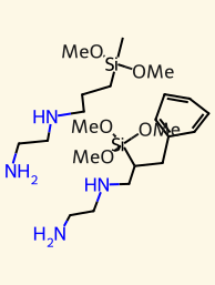 CO[Si](C)(CCCNCCN)OC.CO[Si](OC)(OC)C(CNCCN)Cc1ccccc1